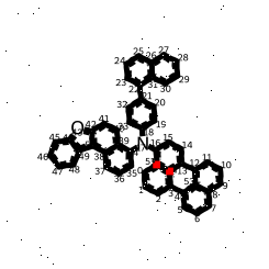 c1ccc(-c2cccc3cccc(-c4ccc(N(c5ccc(-c6cccc7ccccc67)cc5)c5cccc6c5ccc5oc7ccccc7c56)cc4)c23)cc1